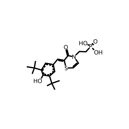 CC(C)(C)c1cc(/C=C2\SC=CN(CCP(=O)(O)O)C2=O)cc(C(C)(C)C)c1O